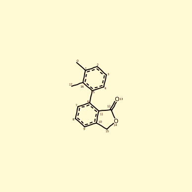 Cc1cccc(-c2cccc3c2C(=O)OC3)c1C